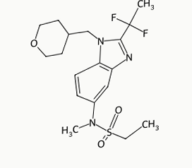 CCS(=O)(=O)N(C)c1ccc2c(c1)nc(C(C)(F)F)n2CC1CCOCC1